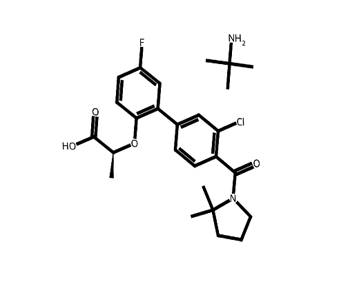 CC(C)(C)N.C[C@H](Oc1ccc(F)cc1-c1ccc(C(=O)N2CCCC2(C)C)c(Cl)c1)C(=O)O